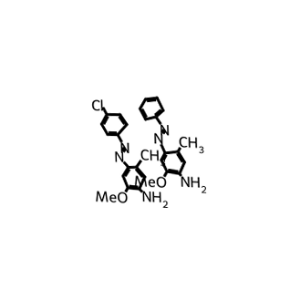 COc1cc(N=Nc2ccc(Cl)cc2)c(C)cc1N.COc1cc(N=Nc2ccccc2)c(C)cc1N